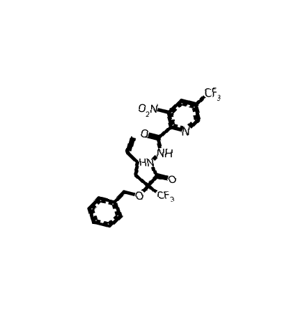 C=CCCC(OCc1ccccc1)(C(=O)NNC(=O)c1ncc(C(F)(F)F)cc1[N+](=O)[O-])C(F)(F)F